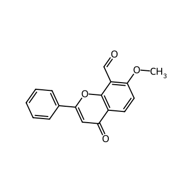 COc1ccc2c(=O)cc(-c3ccccc3)oc2c1C=O